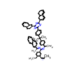 C=C(/N=C(\N=C(/C)c1ccc2ccccc2c1)c1ccc(CC)c(/C=C\C)c1)c1ccc(C(C)(C)c2ccc(-c3nc(-c4ccc5ccccc5c4)nc(-c4ccc5ccccc5c4)n3)cc2)cc1